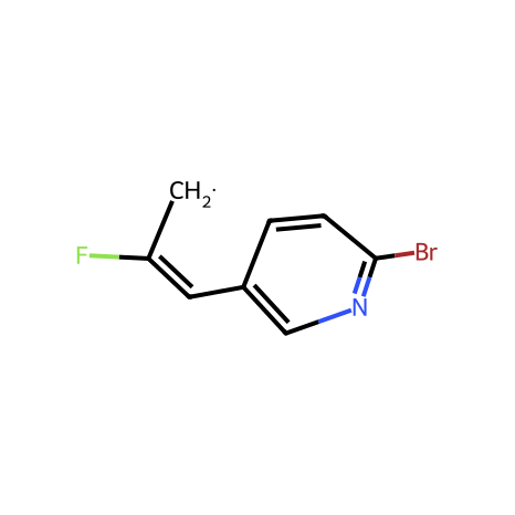 [CH2]/C(F)=C\c1ccc(Br)nc1